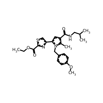 CCOC(=O)c1nc(-c2cc(C(=O)NCC(C)C)c(C)n2Cc2ccc(OC)cc2)cs1